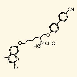 Cc1cc(=O)oc2cc(OCCCCC(COc3ccc(-c4ccc(C#N)cc4)cc3)N(O)C=O)ccc12